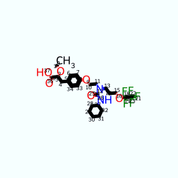 CCOC(Cc1ccc(OCCN(CCCOC(F)(F)C(F)(F)F)C(=O)NC2CCCCC2)cc1)C(=O)O